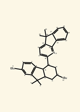 CC(C)(C)c1ccc2c(c1)C(C)(C)C1CC(C(C)(C)C)CC(c3ccc4c(n3)-c3ccccc3C4(C)C)C21